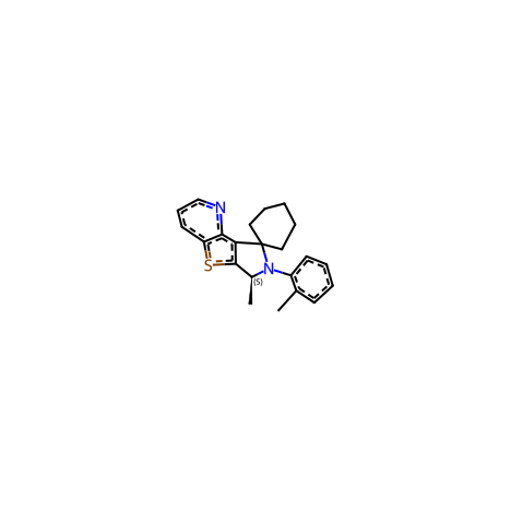 Cc1ccccc1N1[C@@H](C)c2sc3cccnc3c2C12CCCCC2